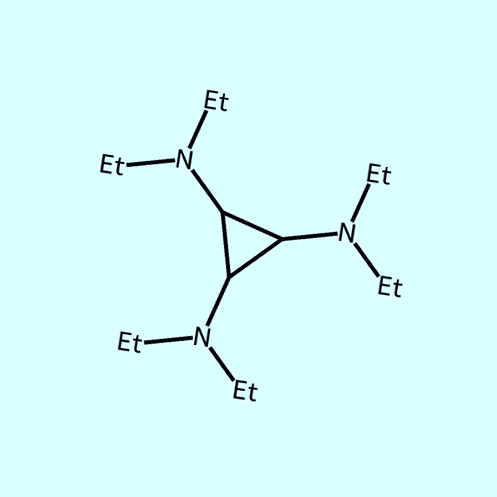 CCN(CC)C1C(N(CC)CC)C1N(CC)CC